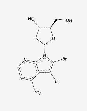 Nc1ncnc2c1c(Br)c(Br)n2[C@@H]1C[C@H](O)[C@@H](CO)O1